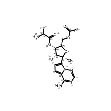 CC(C)C(=O)OC[C@H]1O[C@@](C#N)(c2ccc3c(N)ncnn23)[C@H](O)[C@@H]1OC(=O)[C@@H](N)C(C)C